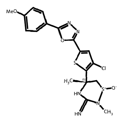 COc1ccc(-c2nnc(-c3cc(Cl)c([C@]4(C)C[S+]([O-])N(C)C(=N)N4)s3)o2)cc1